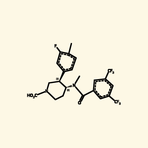 Cc1ccc([C@@H]2CN(C(=O)O)CC[C@H]2N(C)C(=O)c2cc(C(F)(F)F)cc(C(F)(F)F)c2)cc1F